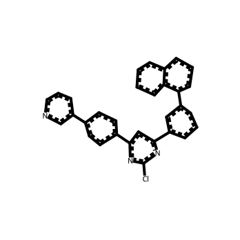 Clc1nc(-c2ccc(-c3cccnc3)cc2)cc(-c2cccc(-c3cccc4ccccc34)c2)n1